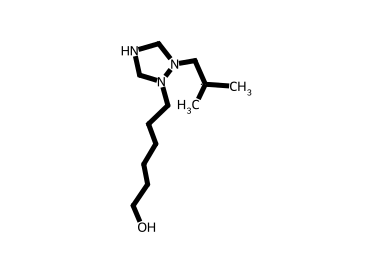 C[C](C)CN1CNCN1CCCCCCO